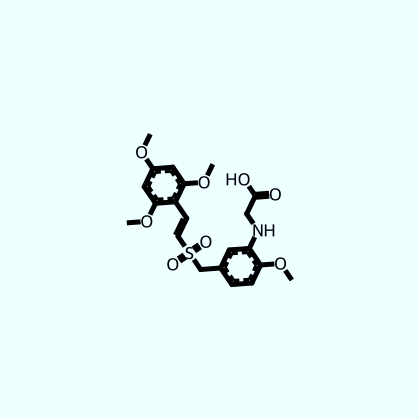 COc1cc(OC)c(C=CS(=O)(=O)Cc2ccc(OC)c(NCC(=O)O)c2)c(OC)c1